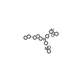 c1ccc2cc(-c3ccc4c(ccc5cc(N(c6ccc(-c7nc8ccccc8o7)cc6)c6ccc(-c7ccnc8c7oc7ccccc78)cc6)ccc54)c3)ccc2c1